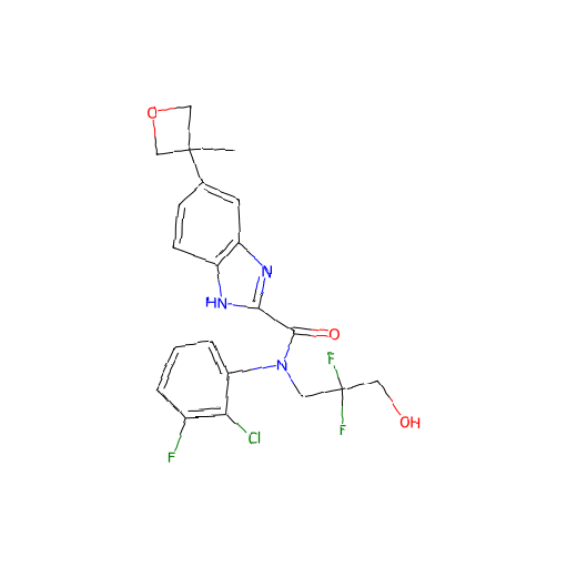 CC1(c2ccc3[nH]c(C(=O)N(CC(F)(F)CO)c4cccc(F)c4Cl)nc3c2)COC1